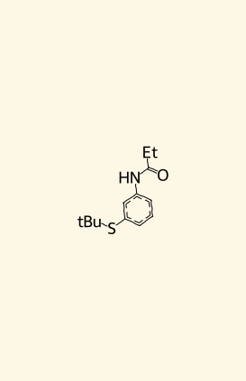 CCC(=O)Nc1cccc(SC(C)(C)C)c1